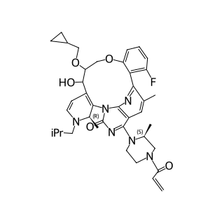 C=CC(=O)N1CCN(c2nc(=O)n3c4nc(c(C)cc24)-c2c(F)cccc2OCC(OCC2CC2)C(O)C2=C3[C@@H](C)N(CC(C)C)C=C2)[C@@H](C)C1